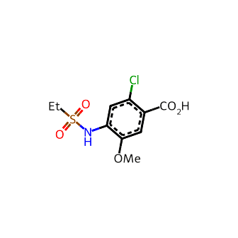 CCS(=O)(=O)Nc1cc(Cl)c(C(=O)O)cc1OC